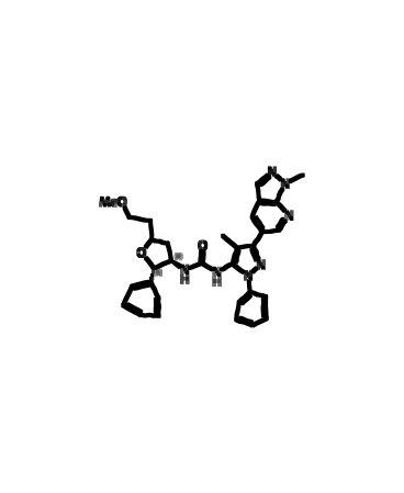 COCCC1C[C@@H](NC(=O)Nc2c(C)c(-c3cnc4c(cnn4C)c3)nn2-c2ccccc2)[C@H](c2ccccc2)O1